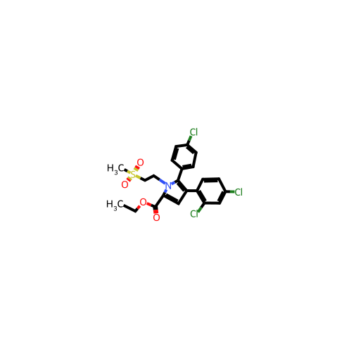 CCOC(=O)c1cc(-c2ccc(Cl)cc2Cl)c(-c2ccc(Cl)cc2)n1CCS(C)(=O)=O